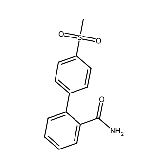 CS(=O)(=O)c1ccc(-c2ccccc2C(N)=O)cc1